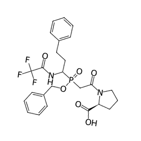 O=C(O)[C@@H]1CCCN1C(=O)CP(=O)(OCc1ccccc1)C(CCc1ccccc1)NC(=O)C(F)(F)F